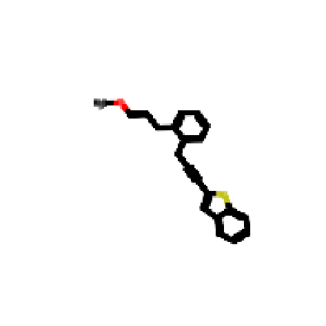 CO/C=C/Cc1ccccc1CC#Cc1cc2ccccc2s1